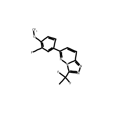 CC(F)(F)c1nnc2ccc(-c3ccc(OC(F)(F)F)c(F)c3)nn12